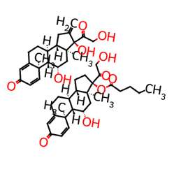 C=C1C[C@H]2[C@@H]3CCC4=CC(=O)C=C[C@]4(C)[C@H]3[C@@H](O)C[C@]2(C)[C@@]1(O)C(=O)CO.CCCCC(=O)O[C@]1(C(=O)CO)CC[C@H]2[C@@H]3CCC4=CC(=O)C=C[C@]4(C)[C@H]3[C@@H](O)C[C@@]21C